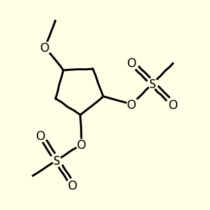 COC1CC(OS(C)(=O)=O)C(OS(C)(=O)=O)C1